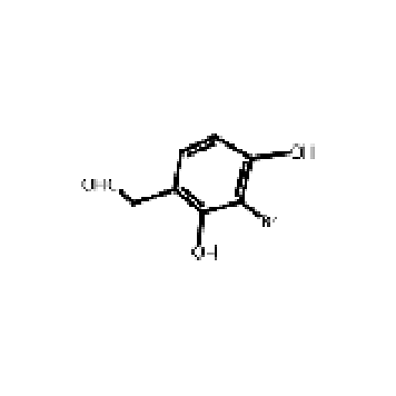 O=CCc1ccc(O)c(Br)c1O